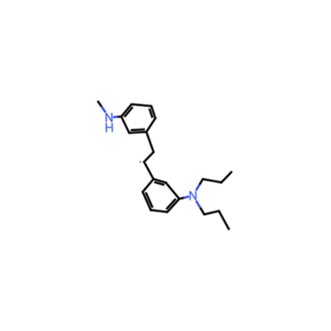 CCCN(CCC)c1cccc([CH]Cc2cccc(NC)c2)c1